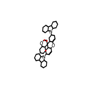 C1=CC(N2C3CCCCC3C3CCCCC32)CC2C1OC1=CCC(N3C4CCCCC4C4CCCCC43)CC1C21C2=CCCCC2OC2CCCCC21